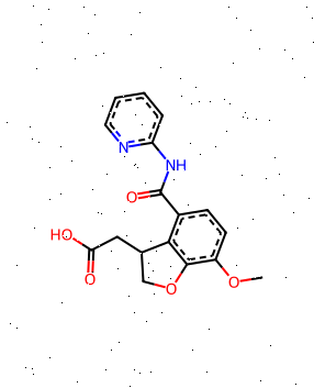 COc1ccc(C(=O)Nc2ccccn2)c2c1OCC2CC(=O)O